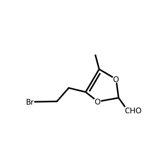 CC1=C(CCBr)OC(C=O)O1